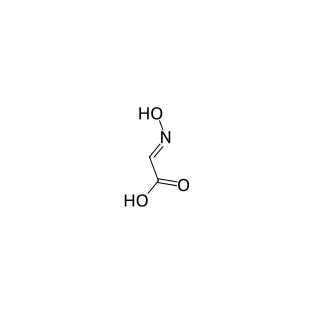 O=C(O)C=NO